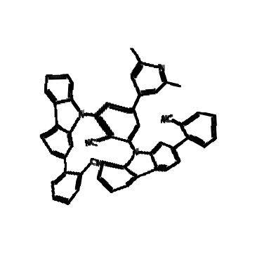 Cc1cc(-c2cc(-n3c4ccccc4c4ccc(-c5ccccc5C#N)cc43)c(C#N)c(-n3c4ccccc4c4ccc(-c5ccccc5C#N)cc43)c2)cc(C)n1